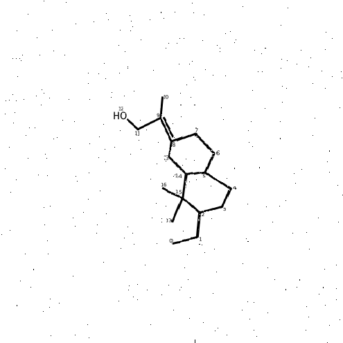 CCC1CCC2CCC(=C(C)CO)CC2C1(C)C